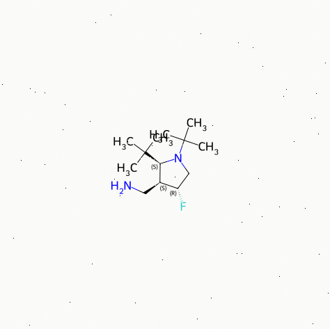 CC(C)(C)[C@@H]1[C@H](CN)[C@@H](F)CN1C(C)(C)C